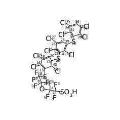 O=S(=O)(O)C(F)(F)C(F)(F)OC(F)(F)C(F)(F)Sc1c(Cl)c(Cl)cc(Sc2c(Cl)c(Cl)cc(Sc3c(Cl)c(Cl)cc(Cl)c3Cl)c2Cl)c1Cl